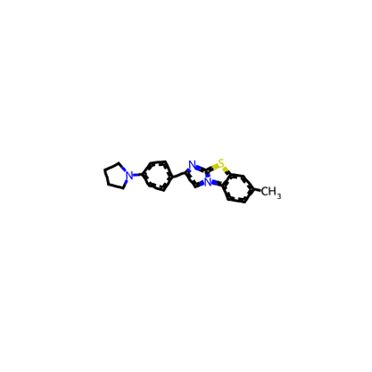 Cc1ccc2c(c1)sc1nc(-c3ccc(N4CCCC4)cc3)cn12